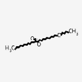 CCCCCCCCCCCCCCCCCC(=O)C([C]=O)CCCCCCCCCCCC